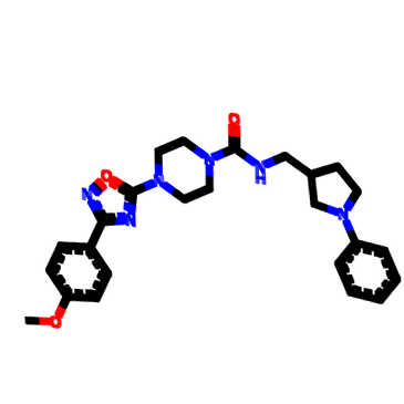 COc1ccc(-c2noc(N3CCN(C(=O)NCC4CCN(c5ccccc5)C4)CC3)n2)cc1